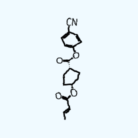 C/C=C/C(=O)O[C@H]1CC[C@H](C(=O)Oc2ccc(C#N)cc2)CC1